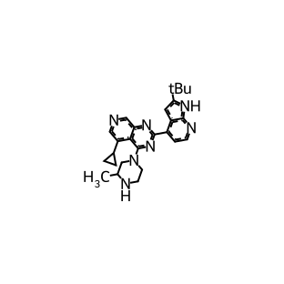 CC1CN(c2nc(-c3ccnc4[nH]c(C(C)(C)C)cc34)nc3cncc(C4CC4)c23)CCN1